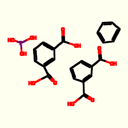 O=C(O)c1cccc(C(=O)O)c1.O=C(O)c1cccc(C(=O)O)c1.OP(O)O.c1ccccc1